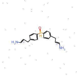 N/C=C/Cc1ccc([PH](=O)c2ccc(C/C=C/N)cc2)cc1